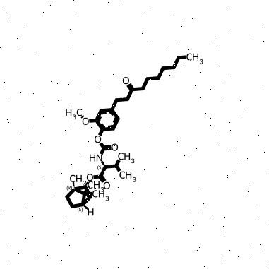 CCCCCCCC(=O)CCc1ccc(OC(=O)N[C@H](C(=O)O[C@@H]2C[C@@H]3CC[C@]2(C)C3(C)C)C(C)C)c(OC)c1